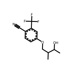 CC(O)C(C)COc1ccc(C#N)c(C(F)(F)F)c1